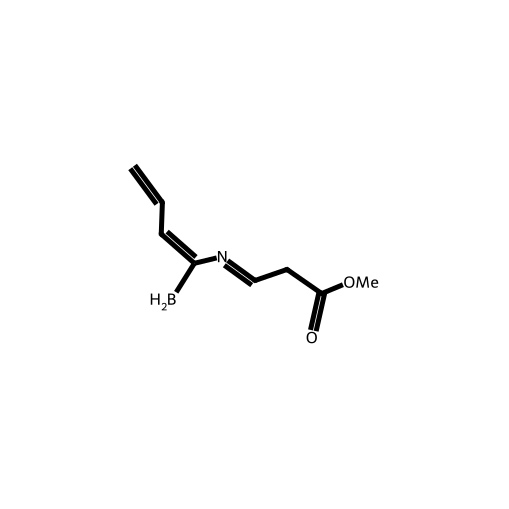 BC(=C/C=C)/N=C/CC(=O)OC